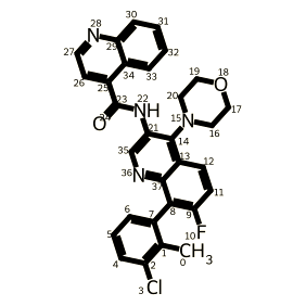 Cc1c(Cl)cccc1-c1c(F)ccc2c(N3CCOCC3)c(NC(=O)c3ccnc4ccccc34)cnc12